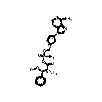 CCON(c1ccccc1)[C@@H](C)C(=O)OP(N)(=O)OC[C@H]1C=C[C@@H](n2cnc3c(N)ncnc32)C1